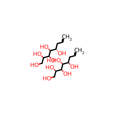 C=CC[C@@H](O)[C@H](O)[C@@H](O)[C@H](O)CO.C=CC[C@H](O)[C@H](O)[C@@H](O)[C@H](O)CO